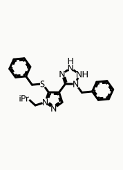 CC(C)Cn1ncc(C2=NNNN2Cc2ccccc2)c1SCc1ccccc1